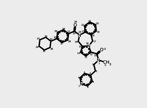 CN(CCc1ccncc1)C(=O)c1ccc2n1Cc1ccccc1N(C(=O)c1ccc(C3CCCCC3)cc1)C2